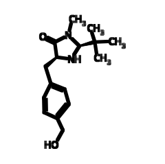 CN1C(=O)[C@H](Cc2ccc(CO)cc2)N[C@@H]1C(C)(C)C